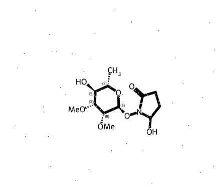 CO[C@@H]1[C@@H](O)[C@H](C)O[C@@H](ON2C(=O)CCC2O)[C@@H]1OC